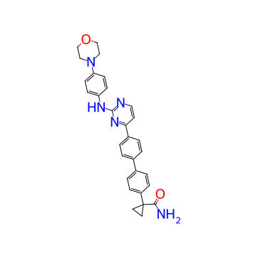 NC(=O)C1(c2ccc(-c3ccc(-c4ccnc(Nc5ccc(N6CCOCC6)cc5)n4)cc3)cc2)CC1